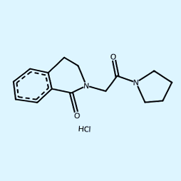 Cl.O=C(CN1CCc2ccccc2C1=O)N1CCCC1